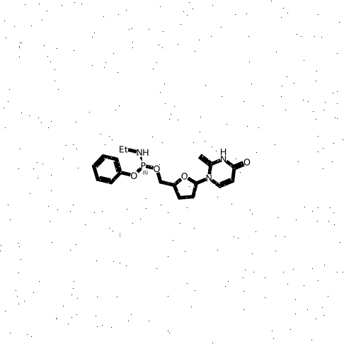 C=C1NC(=O)C=CN1C1CCC(CO[P@@](NCC)Oc2ccccc2)O1